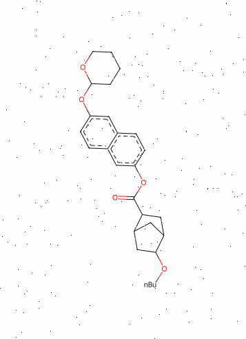 CCCCOC1CC2CC1CC2C(=O)Oc1ccc2cc(OC3CCCCO3)ccc2c1